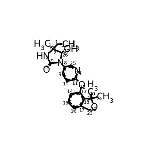 CC[C@@]1(C)NC(=O)N(c2ccc(Oc3cccc4c3C(C)(C)OC4)nc2)C1O